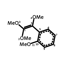 COC(OC)=C(OC)c1ccccc1OC